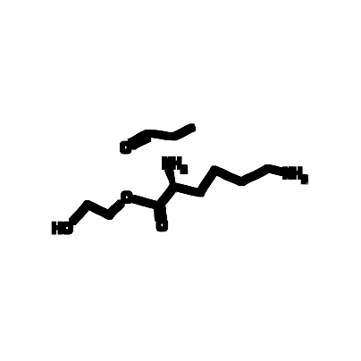 CCC=O.NCCCC[C@H](N)C(=O)OCCO